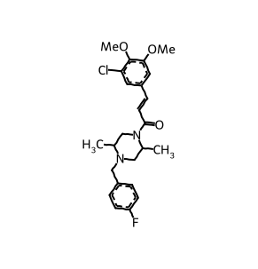 COc1cc(C=CC(=O)N2CC(C)N(Cc3ccc(F)cc3)CC2C)cc(Cl)c1OC